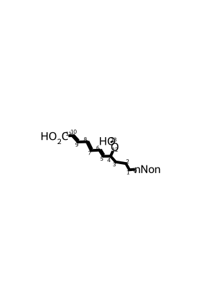 CCCCCCCCCCCCC(C=CC=CC=CC(=O)O)OO